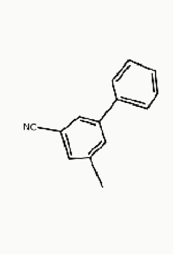 Cc1cc(C#N)cc(-c2ccccc2)c1